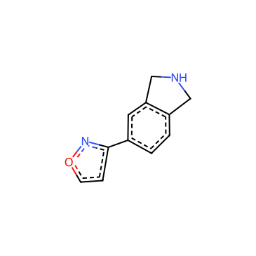 c1cc(-c2ccc3c(c2)CNC3)no1